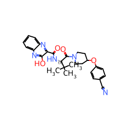 CC(C)(C)[C@H](NC(=O)c1nc2ccccc2nc1O)C(=O)N1CCC(Oc2ccc(C#N)cc2)CC1